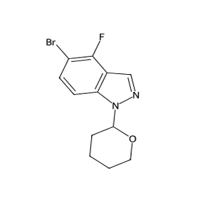 Fc1c(Br)ccc2c1cnn2C1CCCCO1